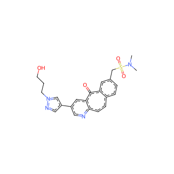 CN(C)S(=O)(=O)Cc1ccc2ccc3ncc(-c4cnn(CCCO)c4)cc3c(=O)c2c1